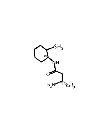 C[C@H](N)CC(=O)N[C@H]1CCCCC1[SiH3]